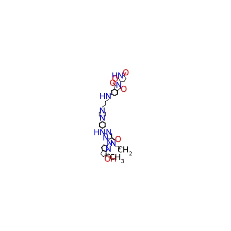 C=CCn1c(=O)c2cnc(Nc3ccc(N4CCN(CCCCNc5ccc6c(c5)C(=O)N(C5CCC(=O)NC5=O)C6=O)CC4)cc3)nc2n1-c1ccc2c(n1)[C@@](O)(CC)CC2